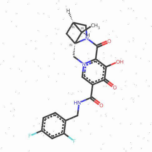 C[C@@H]1[C@@H]2CN3C(=O)c4c(O)c(=O)c(C(=O)NCc5ccc(F)cc5F)cn4C[C@]13C2